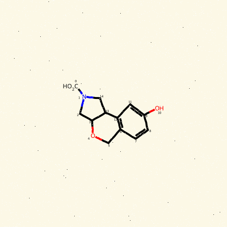 O=C(O)N1CC2OCc3ccc(O)cc3C2C1